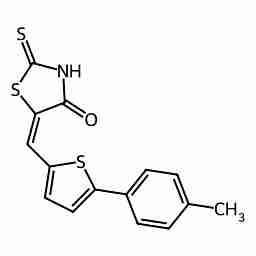 Cc1ccc(-c2ccc(C=C3SC(=S)NC3=O)s2)cc1